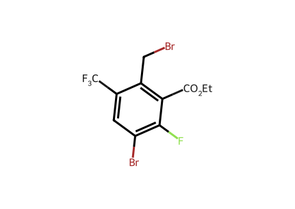 CCOC(=O)c1c(F)c(Br)cc(C(F)(F)F)c1CBr